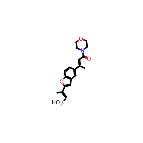 CC(=CC(=O)N1CCOCC1)c1ccc2oc(C(C)=CC(=O)O)cc2c1